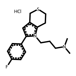 CN(C)CCCn1c(-c2ccc(F)cc2)cc2c1CCSC2.Cl